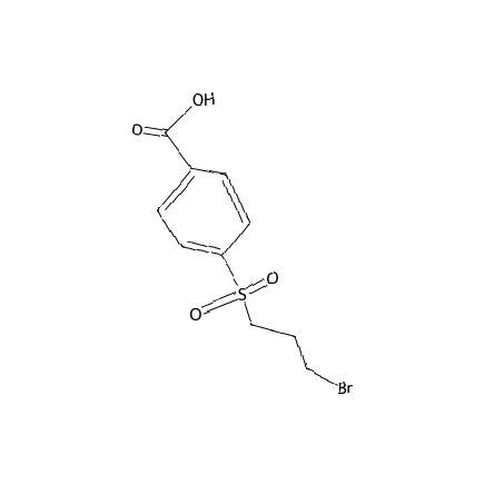 O=C(O)c1ccc(S(=O)(=O)CCCBr)cc1